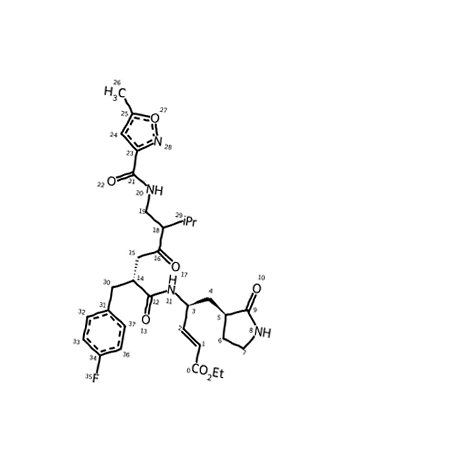 CCOC(=O)/C=C/[C@H](C[C@@H]1CCNC1=O)NC(=O)[C@@H](CC(=O)C(CNC(=O)c1cc(C)on1)C(C)C)Cc1ccc(F)cc1